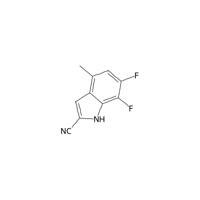 Cc1cc(F)c(F)c2[nH]c(C#N)cc12